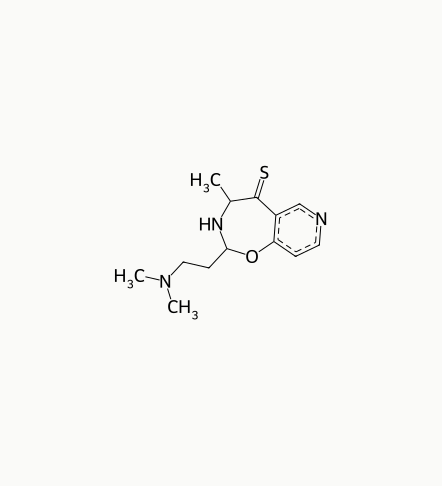 CC1NC(CCN(C)C)Oc2ccncc2C1=S